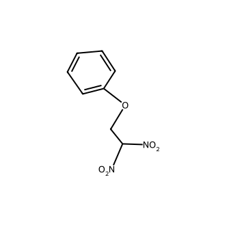 O=[N+]([O-])C(COc1ccccc1)[N+](=O)[O-]